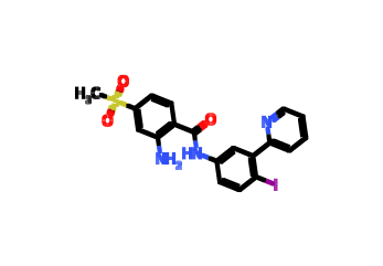 CS(=O)(=O)c1ccc(C(=O)Nc2ccc(I)c(-c3ccccn3)c2)c(N)c1